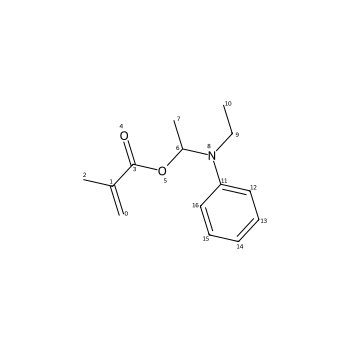 C=C(C)C(=O)OC(C)N(CC)c1ccccc1